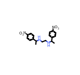 CC(NCCNC(C)c1ccc([N+](=O)[O-])cc1)c1ccc([N+](=O)[O-])cc1